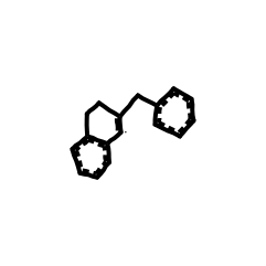 [C]1=C(Cc2ccccc2)CCc2ccccc21